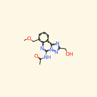 COCc1cccc2c1nc(NC(C)=O)n1nc(CO)nc21